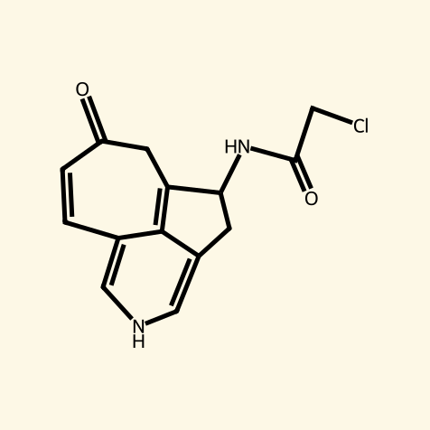 O=C1C=CC2=CNC=C3CC(NC(=O)CCl)C(=C23)C1